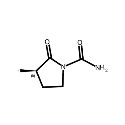 [CH2][C@@H]1CCN(C(N)=O)C1=O